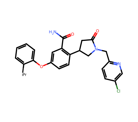 CC(C)c1ccccc1Oc1ccc(C2CC(=O)N(Cc3ccc(Cl)cn3)C2)c(C(N)=O)c1